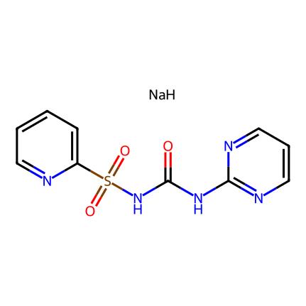 O=C(Nc1ncccn1)NS(=O)(=O)c1ccccn1.[NaH]